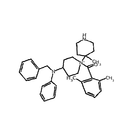 Cc1cccc(C)c1C(=O)[N+]1(C2(C)CCNCC2)CCC(N(Cc2ccccc2)c2ccccc2)CC1